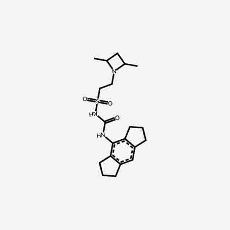 CC1CC(C)N1CCS(=O)(=O)NC(=O)Nc1c2c(cc3c1CCC3)CCC2